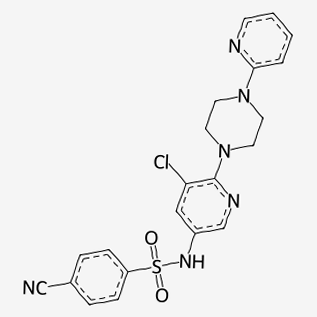 N#Cc1ccc(S(=O)(=O)Nc2cnc(N3CCN(c4ccccn4)CC3)c(Cl)c2)cc1